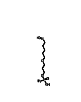 CCCCCCCCCCCCCCCOCCCOP(=O)(O)C(C)C